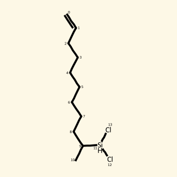 C=CCCCCCCCC(C)[SiH](Cl)Cl